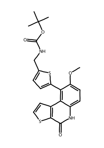 COc1ccc2[nH]c(=O)c3sccc3c2c1-c1ccc(CNC(=O)OC(C)(C)C)s1